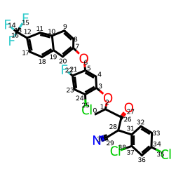 CC(Oc1cc(Oc2ccc3cc(C(F)(F)F)ccc3c2)c(F)cc1Cl)C(=O)C(C#N)c1ccc(Cl)cc1Cl